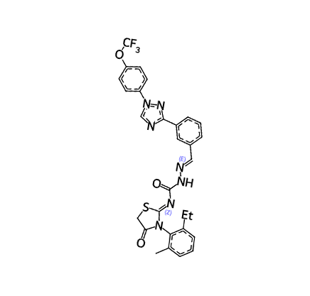 CCc1cccc(C)c1N1C(=O)CS/C1=N\C(=O)N/N=C/c1cccc(-c2ncn(-c3ccc(OC(F)(F)F)cc3)n2)c1